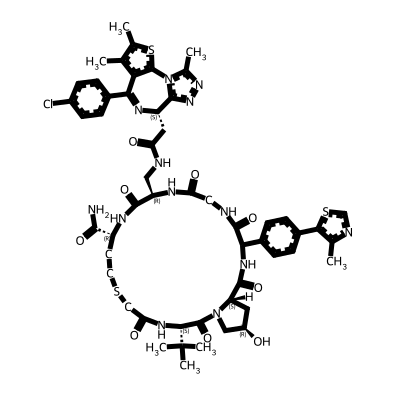 Cc1ncsc1-c1ccc(C2NC(=O)[C@@H]3C[C@@H](O)CN3C(=O)[C@H](C(C)(C)C)NC(=O)CSCC[C@H](C(N)=O)NC(=O)[C@@H](CNC(=O)C[C@@H]3N=C(c4ccc(Cl)cc4)c4c(sc(C)c4C)-n4c(C)nnc43)NC(=O)CNC2=O)cc1